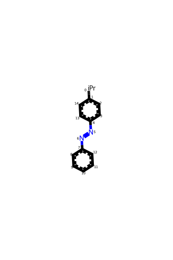 [CH2]C(C)c1ccc(N=Nc2ccccc2)cc1